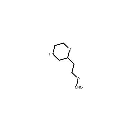 O=COCCC1CNCCO1